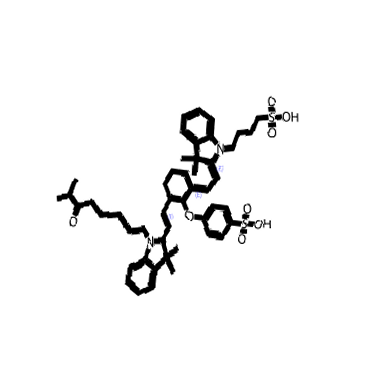 CC(C)C(=O)CCCCCN1c2ccccc2C(C)(C)C1/C=C/C1=C(Oc2ccc(S(=O)(=O)O)cc2)C(=C/C=C2/N(CCCCS(=O)(=O)O)c3ccccc3C2(C)C)/CCC1